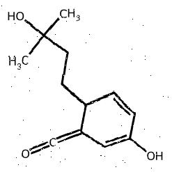 CC(C)(O)CCC1C=CC(O)=CC1=C=O